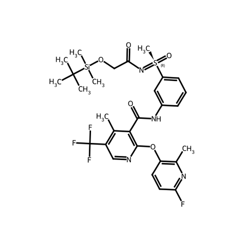 Cc1nc(F)ccc1Oc1ncc(C(F)(F)F)c(C)c1C(=O)Nc1cccc([S@@](C)(=O)=NC(=O)CO[Si](C)(C)C(C)(C)C)c1